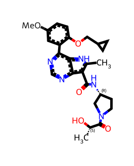 COc1ccc(OCC2CC2)c(-c2ncnc3c(C(=O)N[C@@H]4CCN(C(=O)[C@H](C)O)C4)c(C)[nH]c23)c1